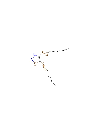 CCCCCCSSc1nnsc1SSCCCCCC